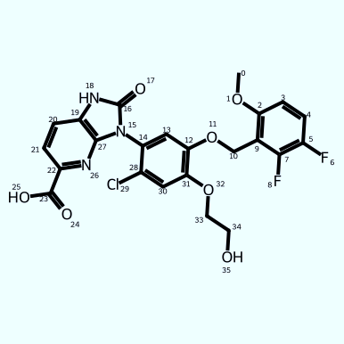 COc1ccc(F)c(F)c1COc1cc(-n2c(=O)[nH]c3ccc(C(=O)O)nc32)c(Cl)cc1OCCO